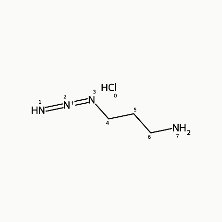 Cl.N=[N+]=NCCCN